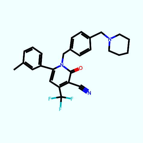 Cc1cccc(-c2cc(C(F)(F)F)c(C#N)c(=O)n2Cc2ccc(CN3CCCCC3)cc2)c1